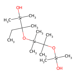 CCC(C)(O[Si](C)(C)C(C)(C)O[Si](C)(C)O)[Si](C)(C)O